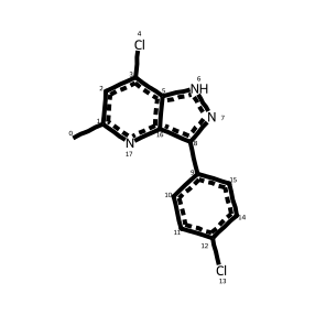 Cc1cc(Cl)c2[nH]nc(-c3ccc(Cl)cc3)c2n1